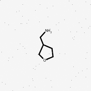 NCC1[CH]OCC1